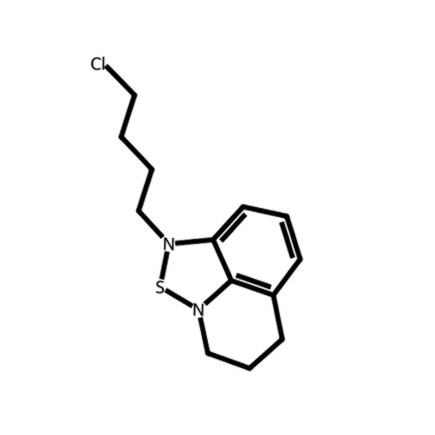 ClCCCCN1SN2CCCc3cccc1c32